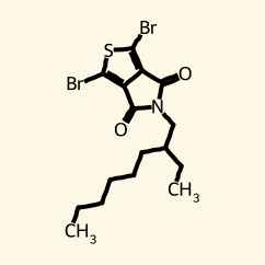 CCCCCCC(CC)CN1C(=O)c2c(Br)sc(Br)c2C1=O